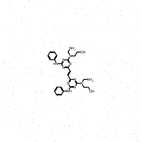 NCN(CCO)c1nc(C=Cc2nc(Nc3ccccc3)nc(N(CN)CCO)n2)nc(Nc2ccccc2)n1